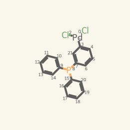 [Cl][Pd]([Cl])[c]1cccc(P(c2ccccc2)c2ccccc2)c1